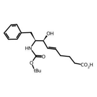 CC(C)(C)OC(=O)N[C@@H](Cc1ccccc1)[C@@H](O)C=CCCCC(=O)O